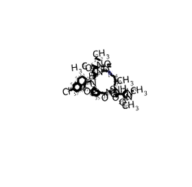 CCCN(CCOC)C(=O)[C@H]1/C(F)=C/C[C@H](C)CS(=O)(NC(=O)c2cn(C)nc2OC)=NC(=O)c2ccc3c(c2F)N(C[C@@H]2CCCN21)C[C@@]1(CCCc2cc(Cl)ccc21)CO3